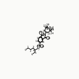 CCCCC(CC)COC(=O)c1ccc2c(c1)C(=O)N(C1CC(C)(C)NC(C)(C)C1)C2=O